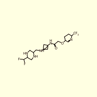 O=C(COC1C=NC(C(F)(F)F)CC1)NC12CC(NCC3CNC(C(F)F)CN3)(C1)C2